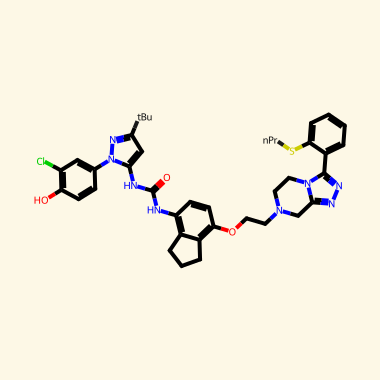 CCCSc1ccccc1-c1nnc2n1CCN(CCOc1ccc(NC(=O)Nc3cc(C(C)(C)C)nn3-c3ccc(O)c(Cl)c3)c3c1CCC3)C2